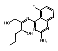 CCC[C@H](O)/C(CO)=N\c1nc(N)nc2cccc(F)c12